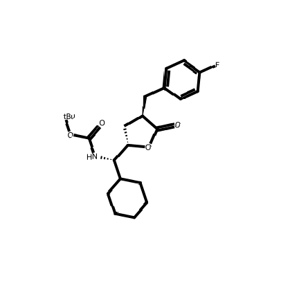 CC(C)(C)OC(=O)N[C@@H](C1CCCCC1)[C@@H]1C[C@@H](Cc2ccc(F)cc2)C(=O)O1